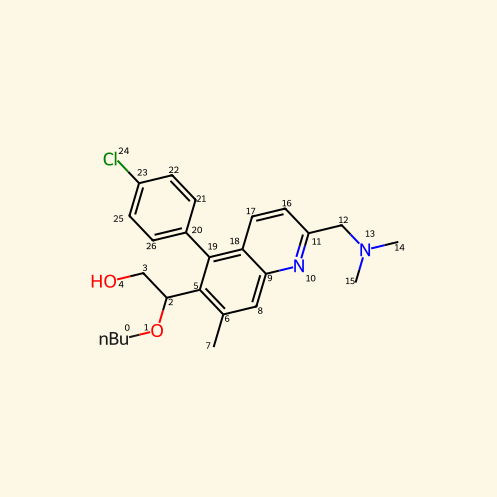 CCCCOC(CO)c1c(C)cc2nc(CN(C)C)ccc2c1-c1ccc(Cl)cc1